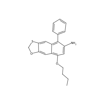 CCCCOc1cc(N)c(-c2ccccc2)c2cc3c(cc12)OCS3